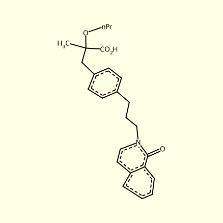 CCCOC(C)(Cc1ccc(CCCn2ccc3ccccc3c2=O)cc1)C(=O)O